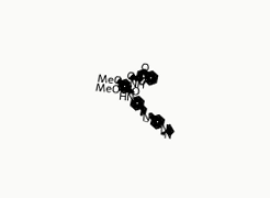 COc1cc(NC(=O)c2cc(=O)c3ccccc3o2)c(C(=O)Nc2ccc(CCN(C)Cc3ccc(-n4ccnc4)cc3)cc2)cc1OC